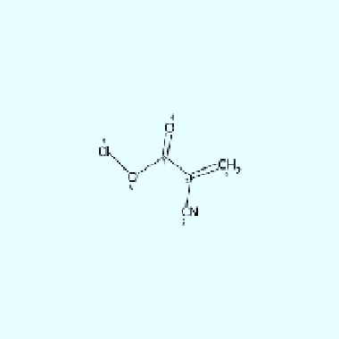 C=C(C#N)C(=O)OCl